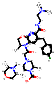 CC1COc2nc(C(=O)NCCN(C)C)c(Cc3ccc(F)cc3)cc2N1C(=O)CN1C[C@@H](C)N(C(=O)O)C[C@@H]1CN1[C@H](C)COC[C@H]1C